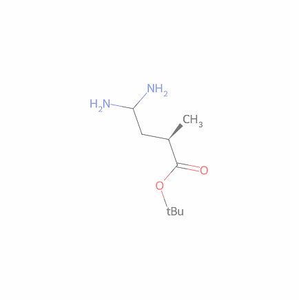 C[C@H](CC(N)N)C(=O)OC(C)(C)C